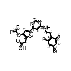 O=C(O)Cc1sc(-c2cc(NCCc3c(F)cc(Br)cc3F)ncn2)cc1OC(F)F